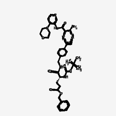 CC(C)(C)OC(=O)N[C@H](CCC(=O)OCc1ccccc1)C(=O)NCc1ccc(-c2cnc(N)c(C(=O)Nc3cnccc3N3CCOCC3)n2)cc1